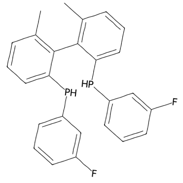 Cc1cccc(Pc2cccc(F)c2)c1-c1c(C)cccc1Pc1cccc(F)c1